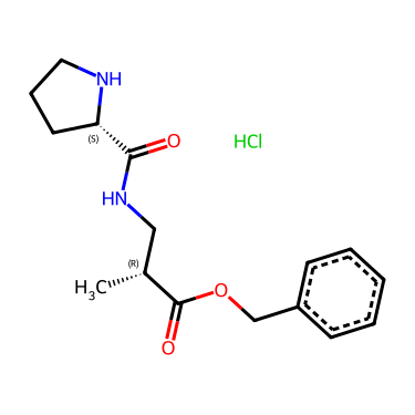 C[C@H](CNC(=O)[C@@H]1CCCN1)C(=O)OCc1ccccc1.Cl